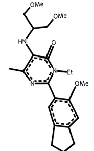 CCn1c(-c2cc3c(cc2OC)CCC3)nc(C)c(NC(COC)COC)c1=O